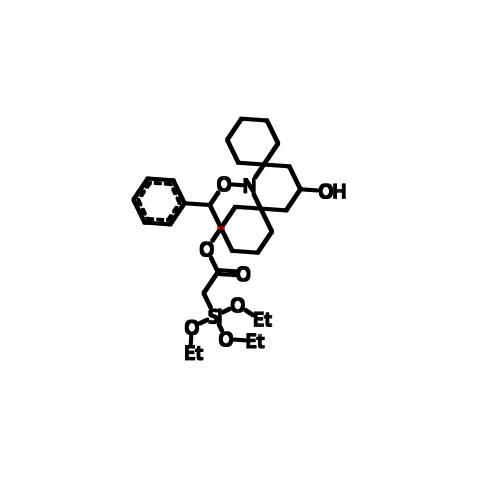 CCO[Si](CC(=O)OCC(ON1C2(CCCCC2)CC(O)CC12CCCCC2)c1ccccc1)(OCC)OCC